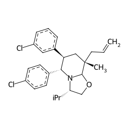 C=CC[C@@]1(C)C[C@H](c2cccc(Cl)c2)[C@@H](c2ccc(Cl)cc2)N2C1OC[C@@H]2C(C)C